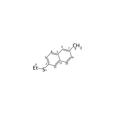 CCSc1ccc2cc(C)ccc2c1